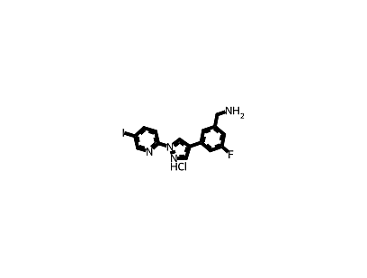 Cl.NCc1cc(F)cc(-c2cnn(-c3ccc(I)cn3)c2)c1